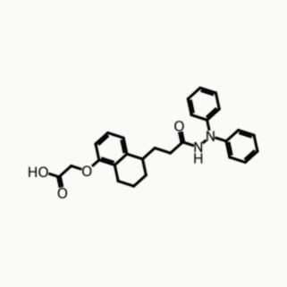 O=C(O)COc1cccc2c1CCCC2CCC(=O)NN(c1ccccc1)c1ccccc1